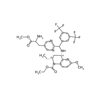 CCOC(=O)N1c2ccc(OC)nc2[C@@H](NC(c2cc(C(F)(F)F)cc(C(F)(F)F)c2)c2ncc(CC(N)C(=O)OC)cn2)C[C@H]1CC